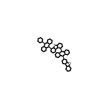 c1ccc(-c2c3ccccc3c(-c3cccc4c3sc3cccc(-c5c6ccccc6c(-c6ccc7c(c6)oc6ccccc67)c6ccccc56)c34)c3ccccc23)cc1